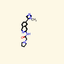 Cn1cncc1-c1ccc2cnc(NC(=O)CN3CCCC3)cc2c1